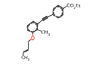 CC=CCOc1cccc(C#Cc2ccc(C(=O)OCC)cc2)c1C